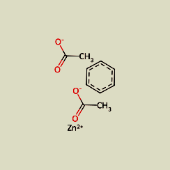 CC(=O)[O-].CC(=O)[O-].[Zn+2].c1ccccc1